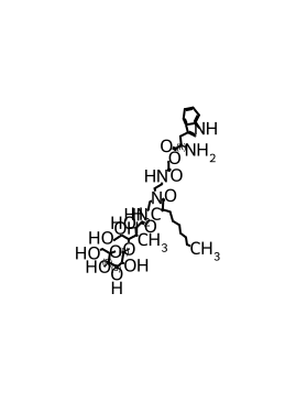 C=C(CCCCCCC)C(=O)N(CCNC(=O)COC(=O)[C@H](N)Cc1c[nH]c2ccccc12)CCNC(=O)C(O)C(C)C(O[C@@H]1OC(CO)[C@H](O)[C@H](O)C1O)C(O)CO